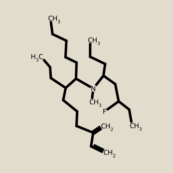 C=CC(=C)CCCC(CCC)C(CCCCC)N(C)C(CCC)CC(F)CC